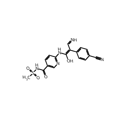 CS(=O)(=O)NC(=O)c1ccc(N/C(O)=C(\C=N)c2ccc(C#N)cc2)nc1